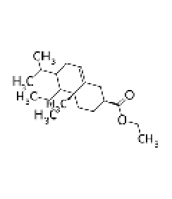 CCOC(=O)[C@H]1CC[C@@]2(C)C(=CCC(C(C)C)C2C(C)C)C1